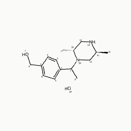 CC(c1ccc(CO)cc1)N1C[C@H](C)NC[C@H]1C.Cl